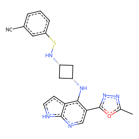 Cc1nnc(-c2cnc3[nH]ccc3c2N[C@H]2C[C@@H](NSc3cccc(C#N)c3)C2)o1